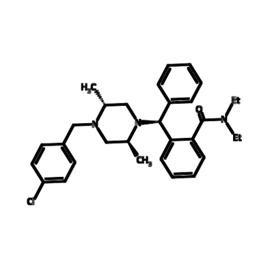 CCN(CC)C(=O)c1ccccc1[C@H](c1ccccc1)N1C[C@@H](C)N(Cc2ccc(Cl)cc2)C[C@@H]1C